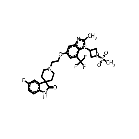 Cc1nc2cc(OCCN3CCC4(CC3)C(=O)Nc3ccc(F)cc34)cc(C(F)(F)F)c2n1C1CN(S(C)(=O)=O)C1